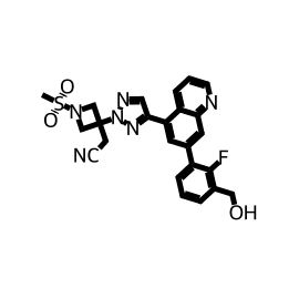 CS(=O)(=O)N1CC(CC#N)(n2ncc(-c3cc(-c4cccc(CO)c4F)cc4ncccc34)n2)C1